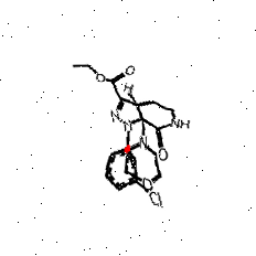 CCOC(=O)C1=NN(c2cccc(Cl)c2)[C@@]2(N3CCOCC3)C(=O)NCC[C@@H]12